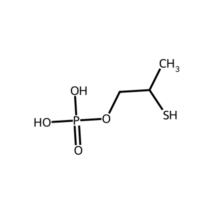 CC(S)COP(=O)(O)O